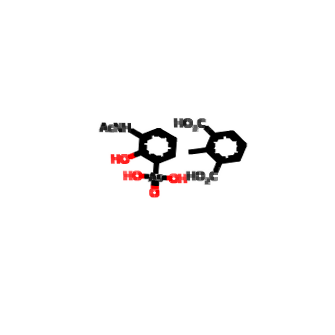 CC(=O)Nc1cccc([As](=O)(O)O)c1O.Cc1c(C(=O)O)cccc1C(=O)O